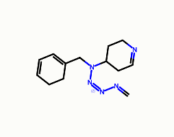 C=N/N=N\N(CC1=CC=CCC1)C1CC=NCC1